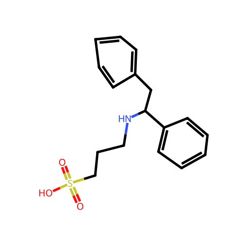 O=S(=O)(O)CCCNC(Cc1ccccc1)c1ccccc1